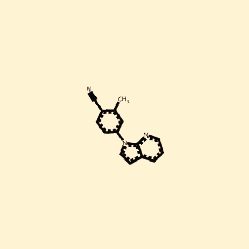 Cc1cc(-n2ccc3cccnc32)ccc1C#N